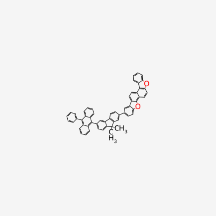 CC1(C)c2ccc(-c3c4ccccc4c(-c4ccccc4)c4ccccc34)cc2-c2ccc(-c3ccc4oc5c(ccc6c5ccc5oc7ccccc7c56)c4c3)cc21